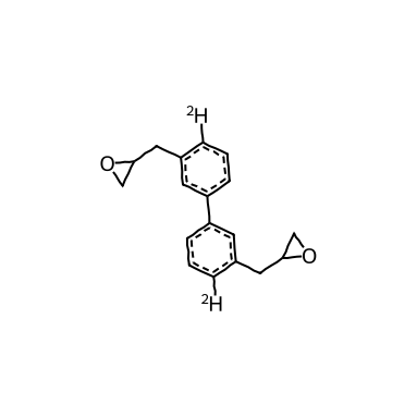 [2H]c1ccc(-c2ccc([2H])c(CC3CO3)c2)cc1CC1CO1